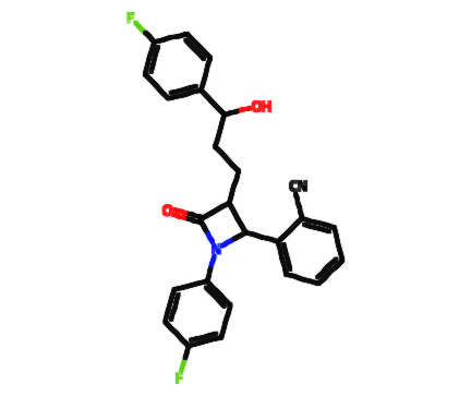 N#Cc1ccccc1C1C(CCC(O)c2ccc(F)cc2)C(=O)N1c1ccc(F)cc1